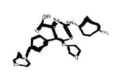 COC(=O)c1nc(N[C@H]2CC[C@H](C)CC2)nc(O[C@H]2CCOC2)c1-c1ccc(N2CCOCC2)cc1